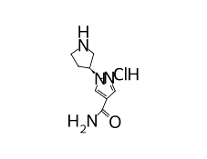 Cl.NC(=O)c1cnn([C@H]2CCNC2)c1